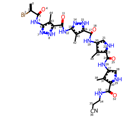 C=C(Br)C(=O)Nc1n[nH]c(C(=O)Nc2n[nH]c(C(=O)Nc3c[nH]c(C(=O)Nc4c[nH]c(C(=O)NCCC#N)c4C)c3C)c2C)c1C